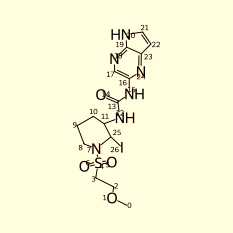 COCCS(=O)(=O)N1CCCC(NC(=O)Nc2cnc3[nH]ccc3n2)C1I